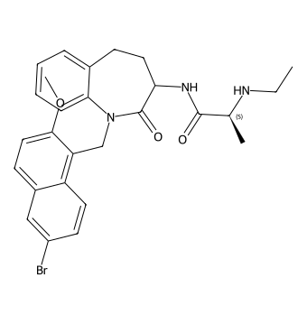 CCN[C@@H](C)C(=O)NC1CCc2ccccc2N(Cc2c(OC)ccc3cc(Br)ccc23)C1=O